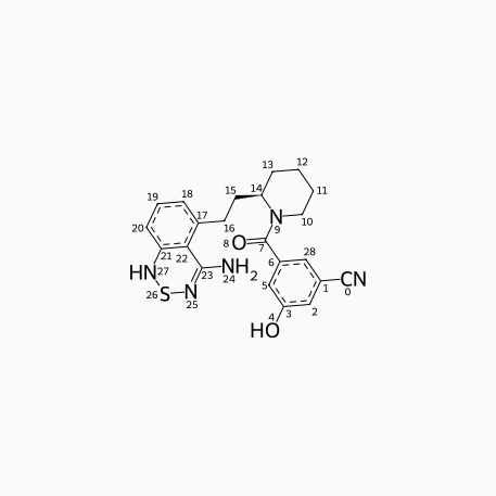 N#Cc1cc(O)cc(C(=O)N2CCCC[C@@H]2CCc2cccc3c2C(N)=NSN3)c1